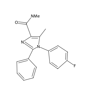 CNC(=O)c1nc(-c2ccccc2)n(-c2ccc(F)cc2)c1C